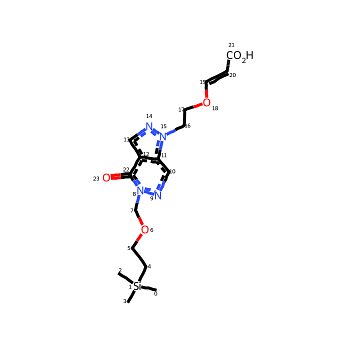 C[Si](C)(C)CCOCn1ncc2c(cnn2CCO/C=C/C(=O)O)c1=O